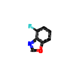 Fc1cccc2o[c]nc12